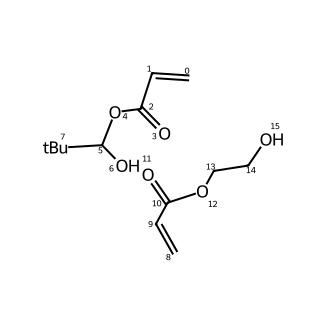 C=CC(=O)OC(O)C(C)(C)C.C=CC(=O)OCCO